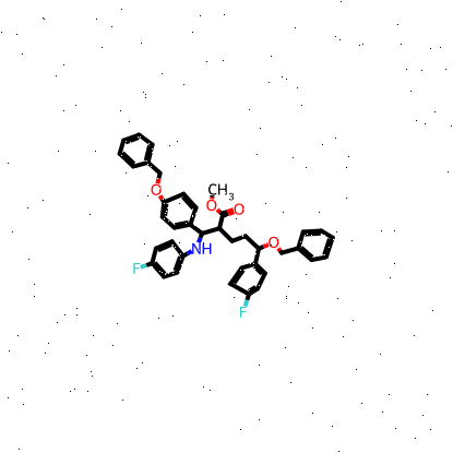 COC(=O)C(CCC(OCc1ccccc1)c1ccc(F)cc1)C(Nc1ccc(F)cc1)c1ccc(OCc2ccccc2)cc1